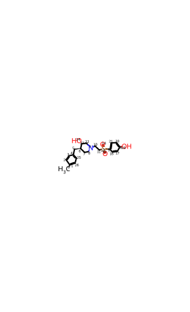 Cc1ccc(C[C@@H]2CCN(CCS(=O)(=O)c3ccc(O)cc3)C[C@@H]2O)cc1